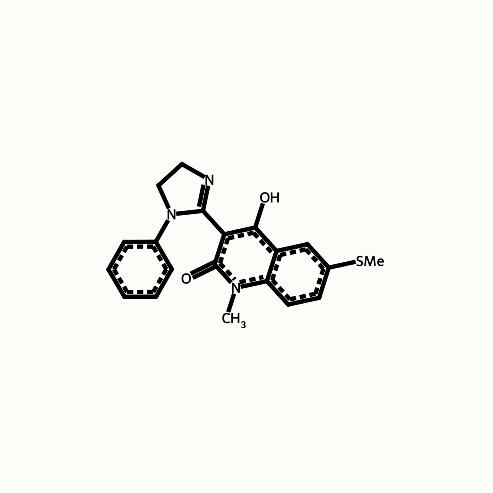 CSc1ccc2c(c1)c(O)c(C1=NCCN1c1ccccc1)c(=O)n2C